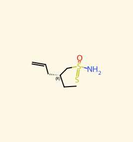 C=CC[C@@H](CC)CS(N)(=O)=S